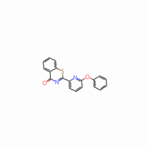 O=c1nc(-c2cccc(Oc3ccccc3)n2)sc2ccccc12